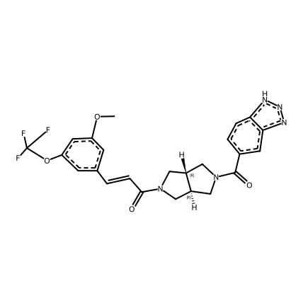 COc1cc(C=CC(=O)N2C[C@@H]3CN(C(=O)c4ccc5[nH]nnc5c4)C[C@H]3C2)cc(OC(F)(F)F)c1